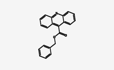 O=C(OCc1ccccc1)c1c2ccccc2nc2ccccc12